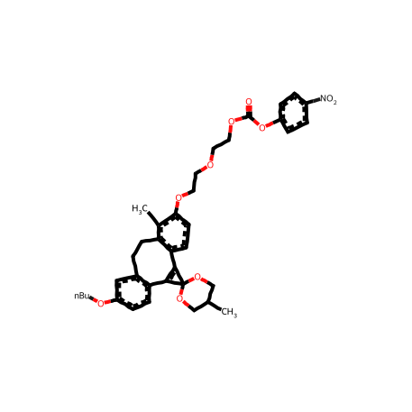 CCCCOc1ccc2c(c1)CCc1c(ccc(OCCOCCOC(=O)Oc3ccc([N+](=O)[O-])cc3)c1C)C1=C2C12OCC(C)CO2